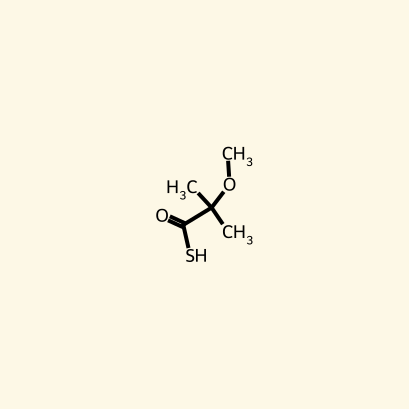 COC(C)(C)C(=O)S